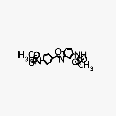 CS(=O)(=O)Nc1ccc(-c2nc3cc(NS(C)(=O)=O)ccc3o2)cc1